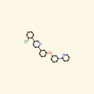 Clc1ccccc1-c1ccc(-c2cccc(Oc3cccc(-c4ccccn4)c3)c2)nc1